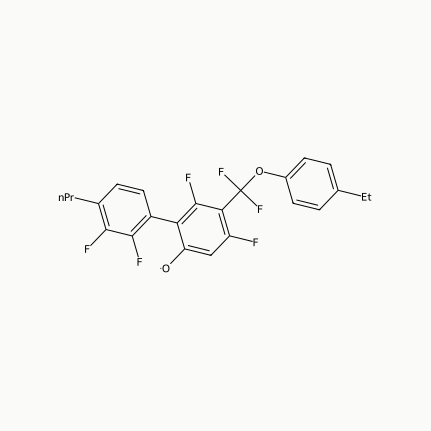 CCCc1ccc(-c2c([O])cc(F)c(C(F)(F)Oc3ccc(CC)cc3)c2F)c(F)c1F